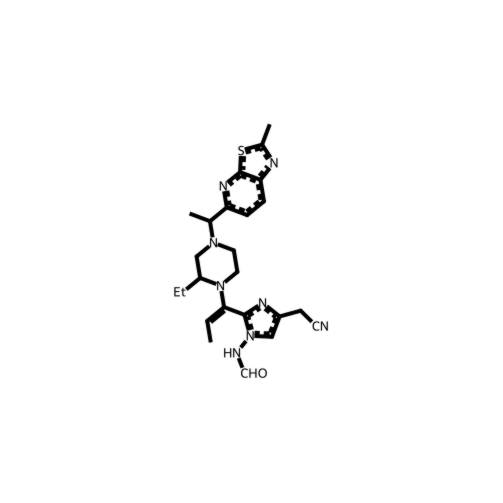 C/C=C(\c1nc(CC#N)cn1NC=O)N1CCN(C(C)c2ccc3nc(C)sc3n2)CC1CC